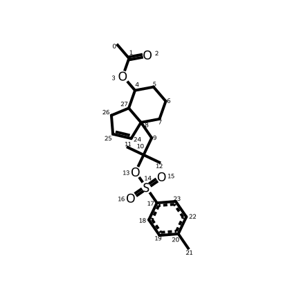 CC(=O)OC1CCCC2(CC(C)(C)OS(=O)(=O)c3ccc(C)cc3)C=CCC12